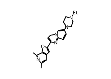 CCN1CCN(C2=CN3CC=C(c4cc5cc(C)nc(C)c5o4)N=C3C=C2)CC1